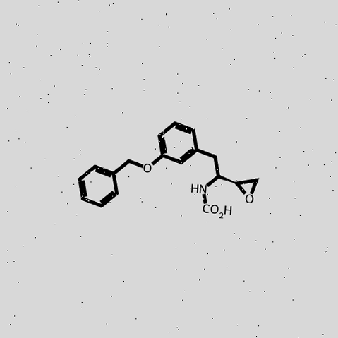 O=C(O)NC(Cc1cccc(OCc2ccccc2)c1)[C@H]1CO1